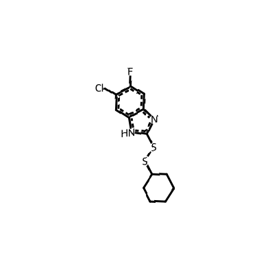 Fc1cc2nc(SSC3CCCCC3)[nH]c2cc1Cl